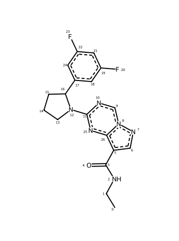 CCNC(=O)c1cnn2cnc(N3CCCC3c3cc(F)cc(F)c3)nc12